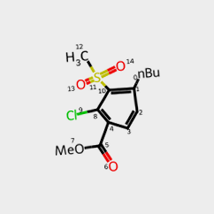 CCCCc1ccc(C(=O)OC)c(Cl)c1S(C)(=O)=O